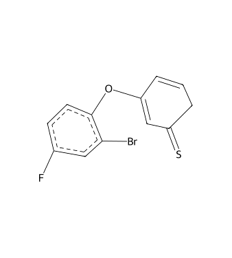 Fc1ccc(OC2=CC(=S)CC=C2)c(Br)c1